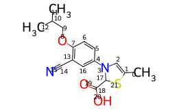 CC1=CN(c2ccc(OCC(C)C)c(C#N)c2)C(C(=O)O)S1